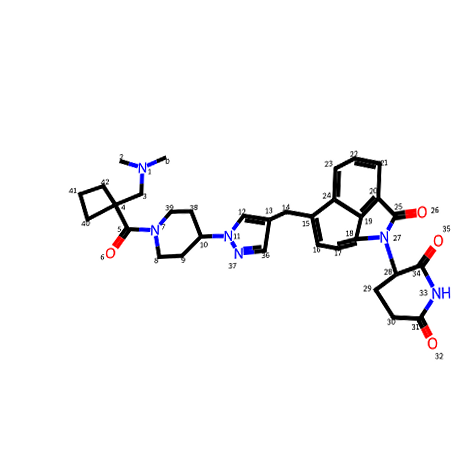 CN(C)CC1(C(=O)N2CCC(n3cc(Cc4ccc5c6c(cccc46)C(=O)N5C4CCC(=O)NC4=O)cn3)CC2)CCC1